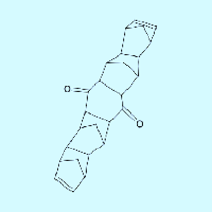 O=C1C2C3CC(C2C(=O)C2C4CC(C12)C1C2C=CC(C2)C41)C1C2C=CC(C2)C31